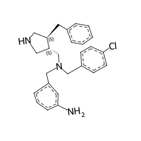 Nc1cccc(CN(Cc2ccc(Cl)cc2)C[C@@H]2CNC[C@H]2Cc2ccccc2)c1